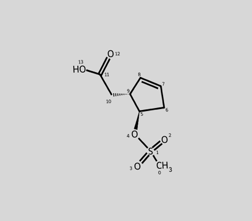 CS(=O)(=O)O[C@@H]1CC=C[C@H]1CC(=O)O